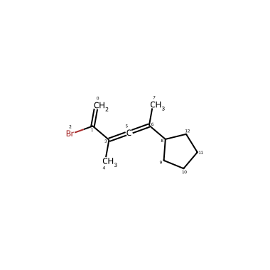 C=C(Br)C(C)=C=C(C)C1CCCC1